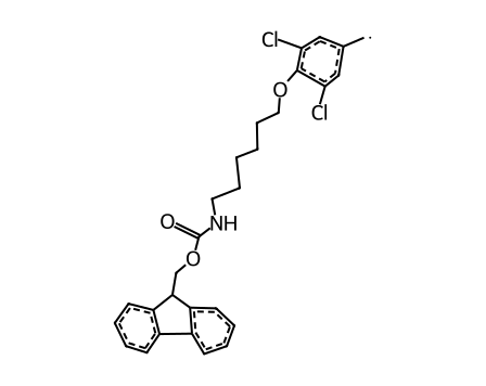 [CH2]c1cc(Cl)c(OCCCCCCNC(=O)OCC2c3ccccc3-c3ccccc32)c(Cl)c1